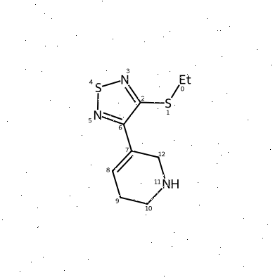 CCSc1nsnc1C1=CCCNC1